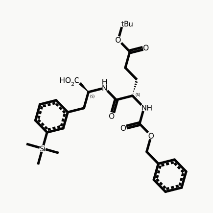 CC(C)(C)OC(=O)CC[C@H](NC(=O)OCc1ccccc1)C(=O)N[C@@H](Cc1cccc([Si](C)(C)C)c1)C(=O)O